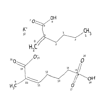 C=C(CCCC)C(=O)O.CC(=CCCCS(=O)(=O)O)C(=O)[O-].[K+]